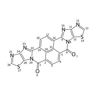 O=c1c2ccc3c(=O)n4c(nc5ncsc54)c4ccc(c2c34)c2nc3ncsc3n12